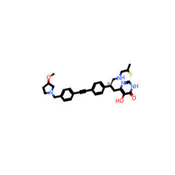 COC1CCN(Cc2ccc(C#Cc3ccc([C@@H](CNCC(C)F)Cc4nc[nH]c(=O)c4O)cc3)cc2)C1